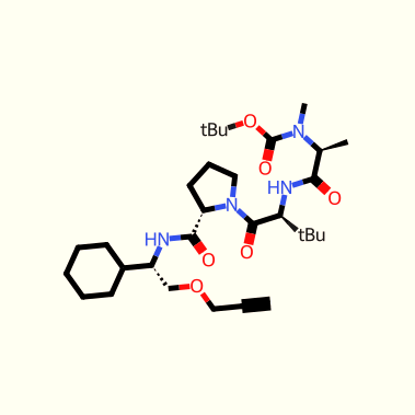 C#CCOC[C@@H](NC(=O)[C@@H]1CCCN1C(=O)[C@@H](NC(=O)[C@H](C)N(C)C(=O)OC(C)(C)C)C(C)(C)C)C1CCCCC1